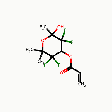 C=CC(=O)OC1C(F)(F)C(C)(C(F)(F)F)OC(O)(C(F)(F)F)C1(F)F